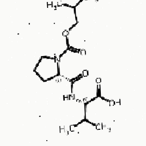 CC(C)COC(=O)N1CCC[C@H]1C(=O)N[C@H](C(=O)O)C(C)C